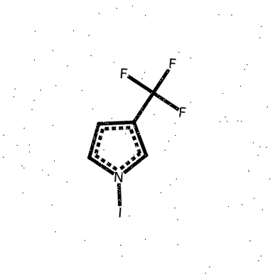 FC(F)(F)c1ccn(I)c1